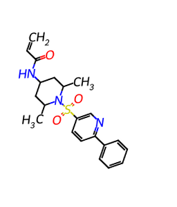 C=CC(=O)NC1CC(C)N(S(=O)(=O)c2ccc(-c3ccccc3)nc2)C(C)C1